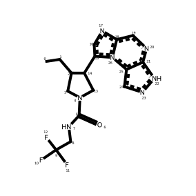 CCC1CN(C(=O)NCC(F)(F)F)CC1c1cnc2cnc3[nH]ncc3n12